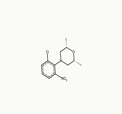 C[C@@H]1CN(c2c(Cl)cccc2[N+](=O)[O-])C[C@H](C)O1